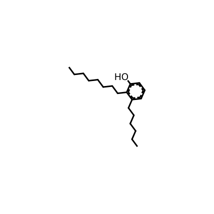 CCCCCCCCc1c(O)cccc1CCCCCC